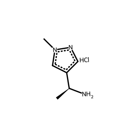 C[C@H](N)c1cnn(C)c1.Cl